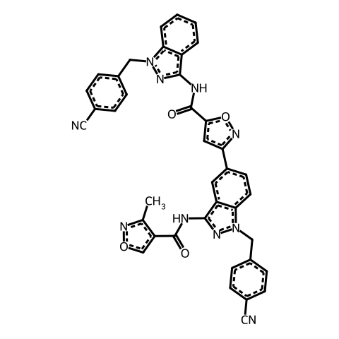 Cc1nocc1C(=O)Nc1nn(Cc2ccc(C#N)cc2)c2ccc(-c3cc(C(=O)Nc4nn(Cc5ccc(C#N)cc5)c5ccccc45)on3)cc12